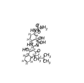 CC(C)CC[C@@]1(C)C(=O)C(C2=NS(O)(O)c3cc(NS(N)(=O)=O)ccc3N2)=C(O)c2ccccc21